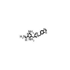 NNc1nc(N)cc(Cc2cnn(Cc3ccc4ncsc4c3)c2)c1N